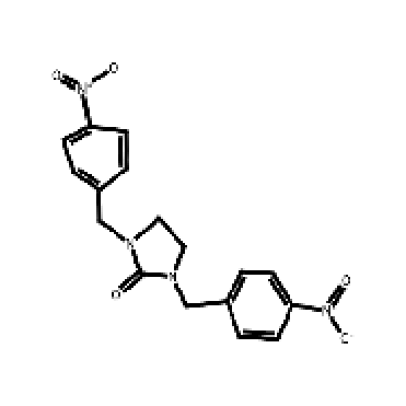 O=C1N(Cc2ccc([N+](=O)[O-])cc2)CCN1Cc1ccc([N+](=O)[O-])cc1